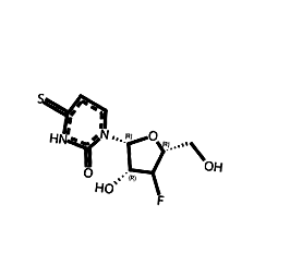 O=c1[nH]c(=S)ccn1[C@@H]1O[C@H](CO)C(F)[C@@H]1O